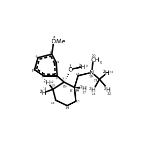 [2H]O[C@@]1(c2cccc(OC)c2)C([2H])([2H])CCC[C@@]1([2H])CN(C)C([2H])([2H])[2H]